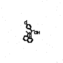 COc1ccc([C@@H](C)N[C@H](C)c2cccc3ccccc23)cc1.Cl